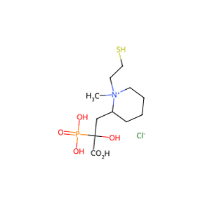 C[N+]1(CCS)CCCCC1CC(O)(C(=O)O)P(=O)(O)O.[Cl-]